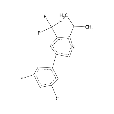 CC(C)c1ncc(-c2cc(F)cc(Cl)c2)cc1C(F)(F)F